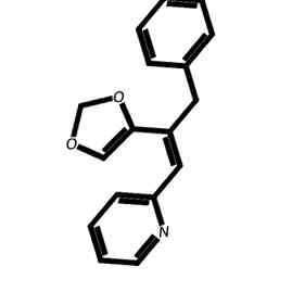 C(=C(Cc1ccccc1)C1=COCO1)c1ccccn1